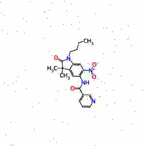 CCCCN1C(=O)C(C)(C)c2cc(NC(=O)c3cccnc3)c([N+](=O)[O-])cc21